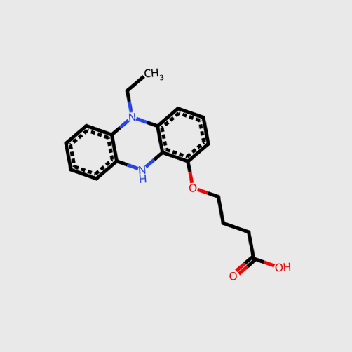 CCN1c2ccccc2Nc2c(OCCCC(=O)O)cccc21